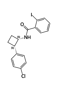 O=C(N[C@H]1CC[C@H]1c1ccc(Cl)cc1)c1ccccc1I